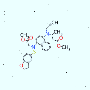 C#CCN(c1ccc(N(CC(=O)OC)Sc2ccc3c(c2)CCO3)c2ccccc12)C(C)CC(=O)OC